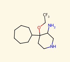 NC1CNCCC1(OCC(F)(F)F)C1CCCCCC1